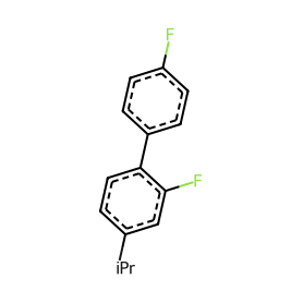 CC(C)c1ccc(-c2ccc(F)cc2)c(F)c1